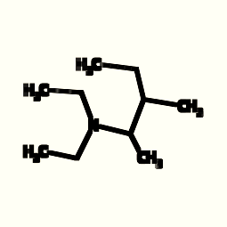 CCC(C)C(C)N(CC)CC